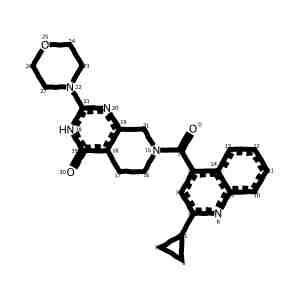 O=C(c1cc(C2CC2)nc2ccccc12)N1CCc2c(nc(N3CCOCC3)[nH]c2=O)C1